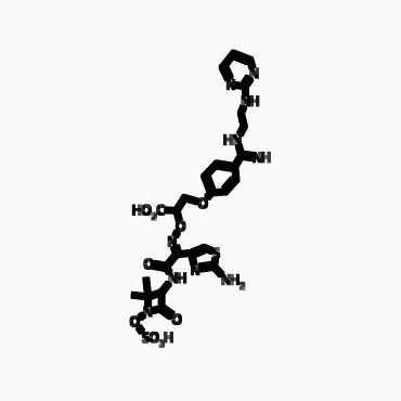 CC1(C)C(NC(=O)C(=NOC(COc2ccc(C(=N)NCCNc3ncccn3)cc2)C(=O)O)c2csc(N)n2)C(=O)N1OS(=O)(=O)O